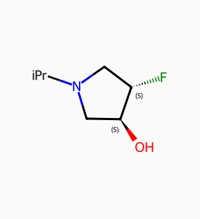 CC(C)N1C[C@H](O)[C@@H](F)C1